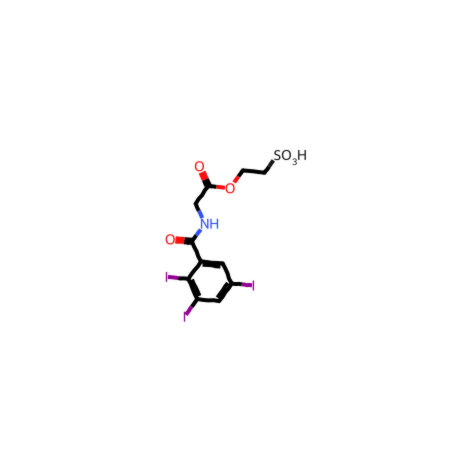 O=C(CNC(=O)c1cc(I)cc(I)c1I)OCCS(=O)(=O)O